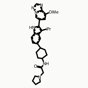 COc1cc(-c2[nH]c3ccc(C4CCC(NC(=O)CN5CCCC5)CC4)cc3c2C(C)C)cn2ncnc12